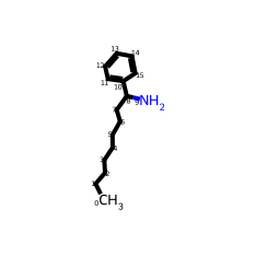 CCCCCCCCC(N)c1ccccc1